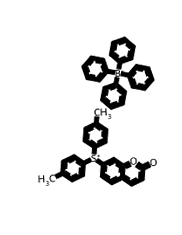 Cc1ccc([S+](c2ccc(C)cc2)c2ccc3ccc(=O)oc3c2)cc1.c1ccc([B-](c2ccccc2)(c2ccccc2)c2ccccc2)cc1